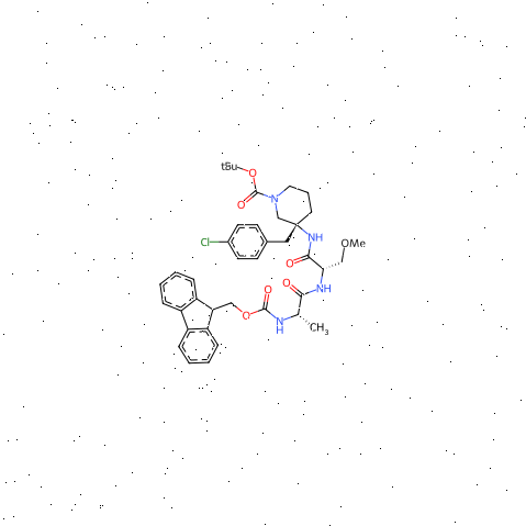 COC[C@H](NC(=O)[C@H](C)NC(=O)OCC1c2ccccc2-c2ccccc21)C(=O)N[C@@]1(Cc2ccc(Cl)cc2)CCCN(C(=O)OC(C)(C)C)C1